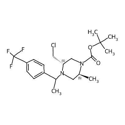 CC(c1ccc(C(F)(F)F)cc1)N1C[C@H](C)N(C(=O)OC(C)(C)C)C[C@H]1CCl